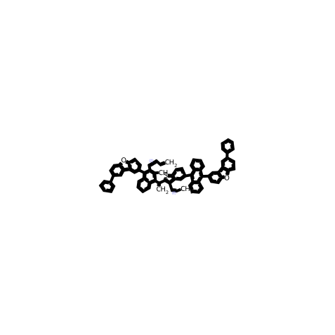 C=C/C=C\c1c(C)c(C(=C)c2sc3ccc(-c4c5ccccc5c(-c5ccc6oc7ccc(-c8ccccc8)cc7c6c5)c5ccccc45)cc3c2/C=C\C)c2ccccc2c1-c1ccc2oc3ccc(-c4ccccc4)cc3c2c1